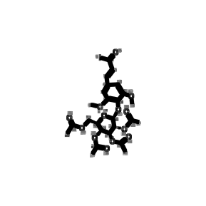 COc1cc(/C=C/C(=O)I)cc(OC)c1O[C@@H]1O[C@H](COC(C)=O)[C@H](OC(C)=O)[C@H](OC(C)=O)[C@H]1OC(C)=O